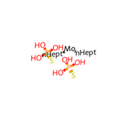 CCCCCC[CH2][Mo][CH2]CCCCCC.OP(O)(O)=S.OP(O)(O)=S